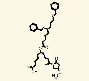 COC1CC(=O)N(C(=O)CCNC(CCCCC(=O)O)OC(=O)CCCCC(CCCSCc2ccccc2)SCc2ccccc2)C1